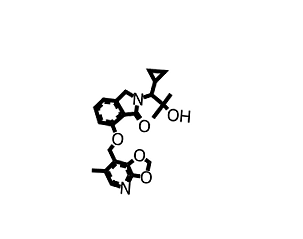 Cc1cnc2c(c1COc1cccc3c1C(=O)N(C(C1CC1)C(C)(C)O)C3)OCO2